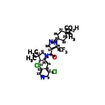 CC1(C)C[C@H](Cc2c(Cl)cncc2Cl)N(C(=O)c2cnn([C@H]3CC[C@](C)(C(=O)O)CC3)c2C(F)(F)F)C1